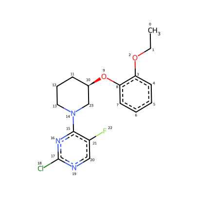 CCOc1ccccc1O[C@@H]1CCCN(c2nc(Cl)ncc2F)C1